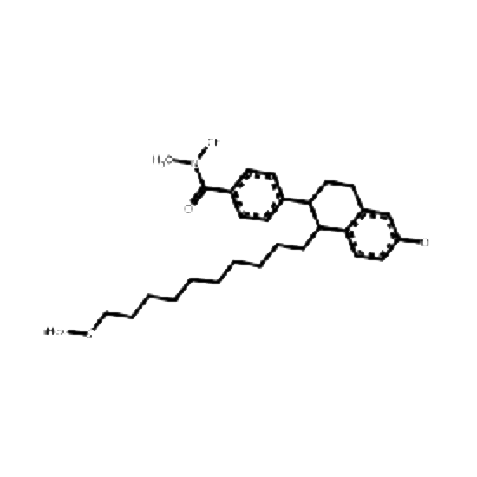 CCCCCCSCCCCCCCCCCC1c2ccc(O)cc2CCC1c1ccc(C(=O)N(C)C)cc1